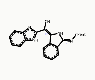 CCCCC/N=C1\N/C(=C(\C#N)c2nc3ccccc3[nH]2)c2ccccc21